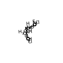 CC1(NC(=O)COc2ccc(Cl)c(I)c2)CC2(NC(=O)COc3ccc(Cl)c(F)c3)CC12